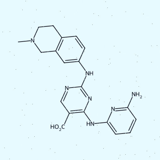 CN1CCc2ccc(Nc3ncc(C(=O)O)c(Nc4cccc(N)n4)n3)cc2C1